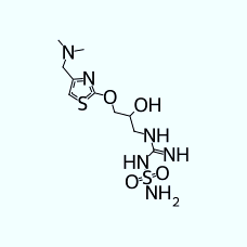 CN(C)Cc1csc(OCC(O)CNC(=N)NS(N)(=O)=O)n1